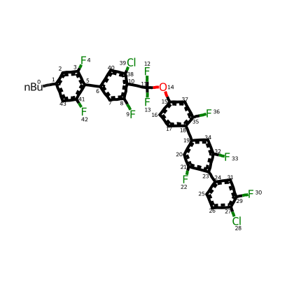 CCCCc1cc(F)c(-c2cc(F)c(C(F)(F)Oc3ccc(-c4cc(F)c(-c5ccc(Cl)c(F)c5)c(F)c4)c(F)c3)c(Cl)c2)c(F)c1